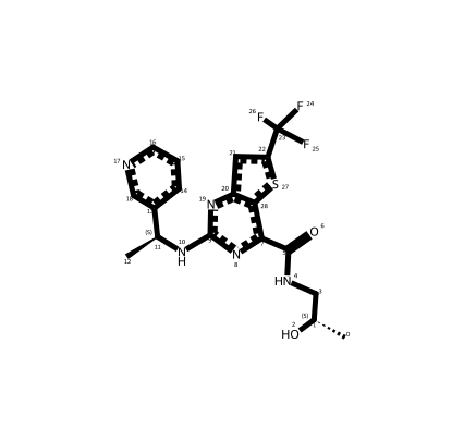 C[C@H](O)CNC(=O)c1nc(N[C@@H](C)c2cccnc2)nc2cc(C(F)(F)F)sc12